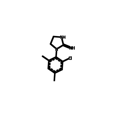 Cc1cc(C)c(N2CCNC2=N)c(Cl)c1